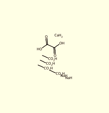 CC(=O)O.CC(=O)O.CC(=O)O.CC(=O)O.O=C(O)C(=O)O.[CaH2].[NaH].[NaH]